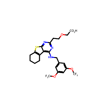 O=C(O)COCCc1nc(NCc2cc(OC(F)(F)F)cc(OC(F)(F)F)c2)c2c3c(sc2n1)CCCC3